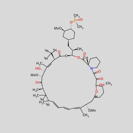 [2H]C([2H])([2H])[C@@H]1/C=C(\C)[C@@H](O)[C@@H](OC)C(=O)[C@H](C)C([2H])(C)[C@]([2H])(C)/C=C/C=C/C=C(\C)[C@@H](OC)C[C@@H]2CC[C@@H](C)[C@@](O)(O2)C(=O)C(=O)N2CCCC[C@H]2C(=O)O[C@H]([C@H](C)C[C@@H]2CC[C@@H](OP(C)(C)=O)[C@H](OC)C2)CC1=O